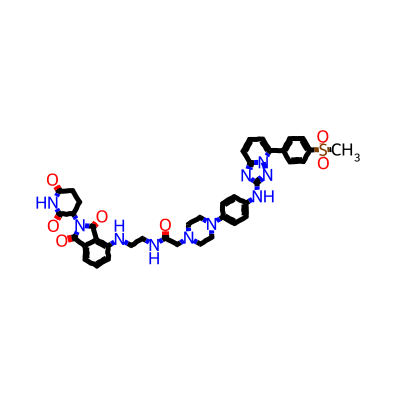 CS(=O)(=O)c1ccc(-c2cccc3nc(Nc4ccc(N5CCN(CC(=O)NCCNc6cccc7c6C(=O)N(C6CCC(=O)NC6=O)C7=O)CC5)cc4)nn23)cc1